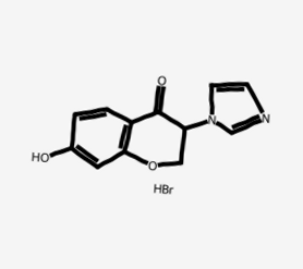 Br.O=C1c2ccc(O)cc2OCC1n1ccnc1